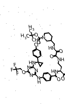 CC(C)(C)OC(=O)N1CCCC(CNC(=O)C(=O)NCC[C@H](NC(=O)c2ccc(Nc3nc(NC4(c5ccc(Cl)cc5)CC4)nc(OCC(F)(F)F)n3)cc2)C(=O)O)C1